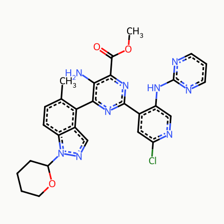 COC(=O)c1nc(-c2cc(Cl)ncc2Nc2ncccn2)nc(-c2c(C)ccc3c2cnn3C2CCCCO2)c1N